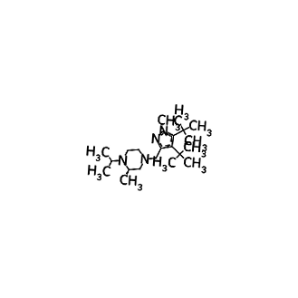 CC(C)N1CCN(Cc2nn(C)c(C(C)(C)C)c2C(C)(C)C)C[C@H]1C